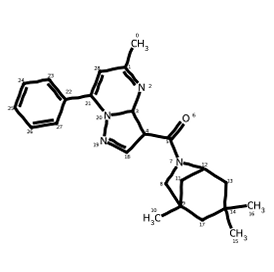 CC1=NC2C(C(=O)N3CC4(C)CC3CC(C)(C)C4)C=NN2C(c2ccccc2)=C1